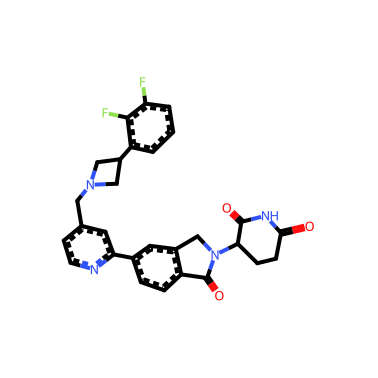 O=C1CCC(N2Cc3cc(-c4cc(CN5CC(c6cccc(F)c6F)C5)ccn4)ccc3C2=O)C(=O)N1